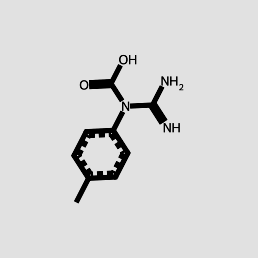 Cc1ccc(N(C(=N)N)C(=O)O)cc1